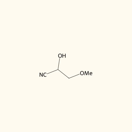 COCC(O)C#N